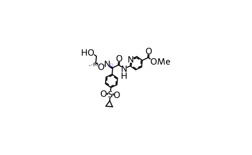 COC(=O)c1ccc(NC(=O)/C(=N/O[C@H](C)CO)c2ccc(S(=O)(=O)C3CC3)cc2)nc1